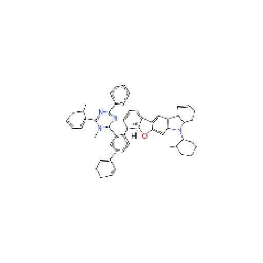 CC1CC=CC=C1C1=NC(c2ccccc2)=NC(c2cc(C3=CCCC=C3)ccc2C2C=CC=C3C4=CC5C6C=CCCC6N(C6CCCCC6C)C5C=C4O[C@H]32)N1C